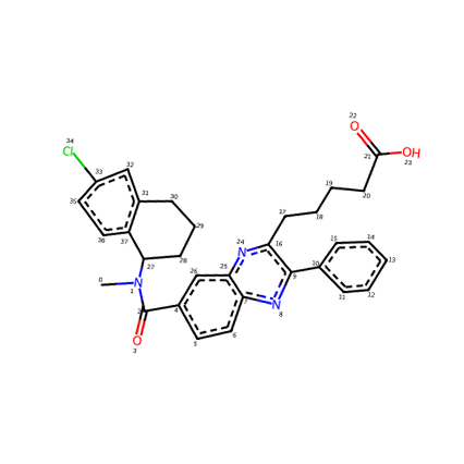 CN(C(=O)c1ccc2nc(-c3ccccc3)c(CCCCC(=O)O)nc2c1)C1CCCc2cc(Cl)ccc21